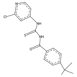 CC(C)(C)c1ccc(C(=O)NC(=S)Nc2ccnc(Cl)c2)cc1